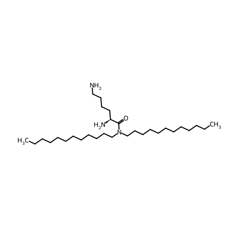 CCCCCCCCCCCCN(CCCCCCCCCCCC)C(=O)[C@@H](N)CCCCN